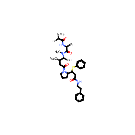 CCC(C)C(C(CC(=O)N1CCCC1C(CC(=O)NCCc1ccccc1)Sc1ccccc1)OC)N(C)C(=O)C(NC(=O)C(NC)C(C)C)C(C)C